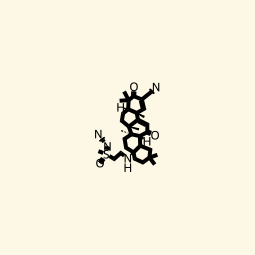 CC1(C)CC[C@]2(NCCS(C)(=O)=NC#N)CC[C@]3(C)[C@H](C(=O)C=C4[C@@]5(C)C=C(C#N)C(=O)C(C)(C)[C@@H]5CC[C@]43C)C2C1